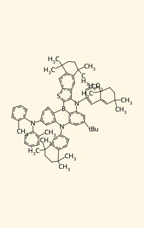 C=C/C(=C\C1=CC(C)(C)CCC1(C)C)N1c2cc(C(C)(C)C)cc3c2B(c2ccc(N(c4ccccc4C)c4ccccc4C)cc2N3c2ccc3c(c2)C(C)(C)CCC3(C)C)c2sc3cc4c(cc3c21)C(C)(C)CCC4(C)C